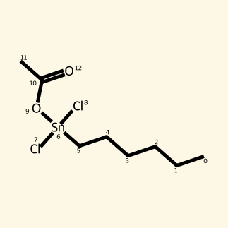 CCCCC[CH2][Sn]([Cl])([Cl])[O]C(C)=O